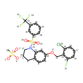 CS(=O)(=O)O[C@H]1Cc2ccc(OCc3c(F)cccc3Cl)cc2N(S(=O)(=O)c2cccc(C(F)(F)F)c2)C1